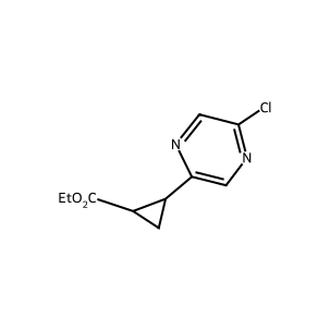 CCOC(=O)C1CC1c1cnc(Cl)cn1